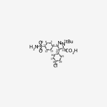 CC(C)(C)n1nc(-c2ccc(S(N)(=O)=O)cc2)c(-c2ccc(Cl)cc2)c1C(=O)O